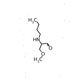 CCCCNC(C=O)COC